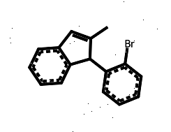 CC1=Cc2ccccc2C1c1ccccc1Br